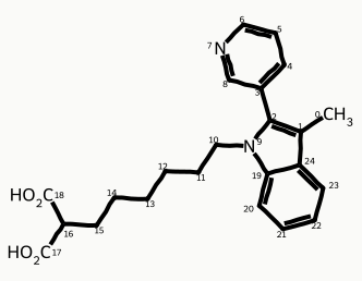 Cc1c(-c2cccnc2)n(CCCCCCC(C(=O)O)C(=O)O)c2ccccc12